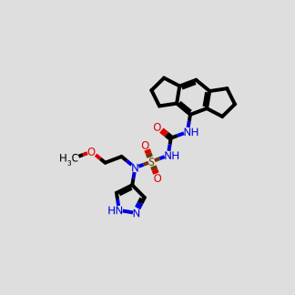 COCCN(c1cn[nH]c1)S(=O)(=O)NC(=O)Nc1c2c(cc3c1CCC3)CCC2